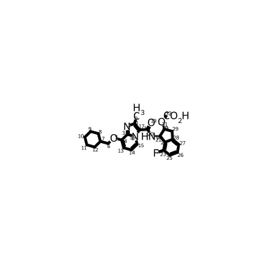 Cc1nc2c(OCC3CCCCC3)cccn2c1C(=O)N[C@@H]1c2c(F)cccc2C[C@@H]1OC(=O)O